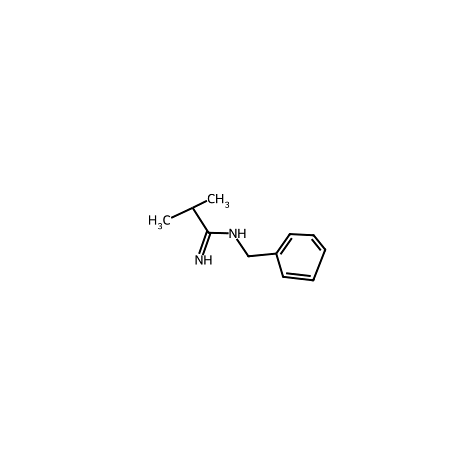 CC(C)C(=N)NCc1ccccc1